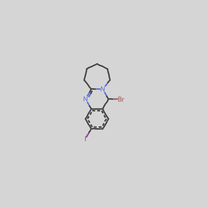 BrC1c2ccc(I)cc2N=C2CCCCCN21